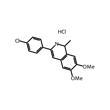 COc1cc2c(cc1OC)C(C)[N]C(c1ccc(Cl)cc1)=C2.Cl